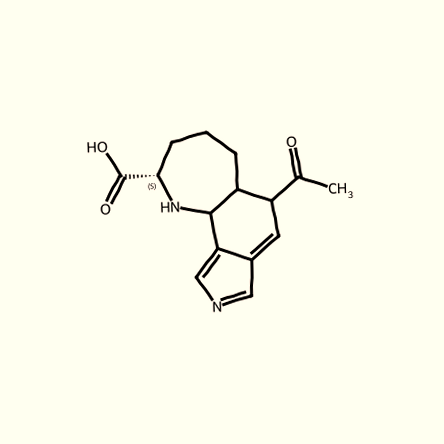 CC(=O)C1C=C2C=NC=C2C2N[C@H](C(=O)O)CCCC12